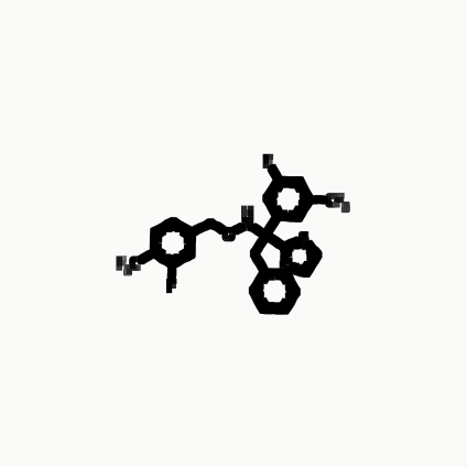 Fc1cc(C(F)(F)F)cc(C(Cc2ccccc2)(NOCc2ccc(C(F)(F)F)c(F)c2)c2nccs2)c1